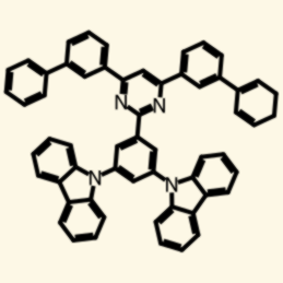 C1=CC(c2cccc(-c3cc(-c4cccc(-c5ccccc5)c4)nc(-c4cc(-n5c6ccccc6c6ccccc65)cc(-n5c6ccccc6c6ccccc65)c4)n3)c2)=CCC1